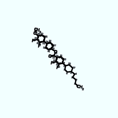 CCCCCC1CCC(c2ccc(C(=O)Oc3ccc(-c4ccc(OC)c(F)c4F)cc3)c(F)c2F)CC1